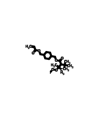 C=CC(=O)OCC1CCC(COC(=O)C(C(C)(C)C)C(C)(C)OOI)CC1